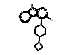 Nc1ncc2[nH]c3ncccc3c2c1N1CCC(N2CCC2)CC1